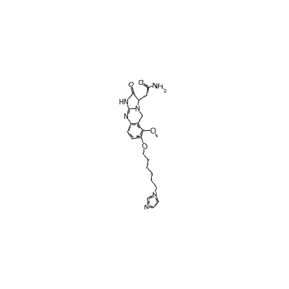 COc1c(OCCCCCCn2ccnc2)ccc2c1CN1C(=N2)NC(=O)C1CC(N)=O